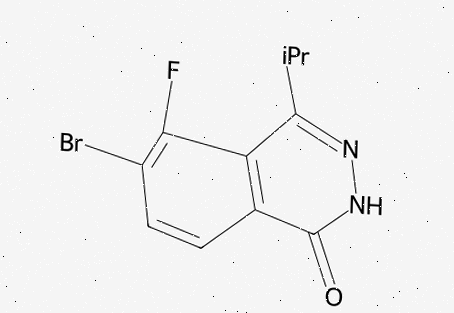 CC(C)c1n[nH]c(=O)c2ccc(Br)c(F)c12